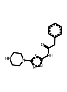 O=C(Cc1ccccc1)Nc1nnc(N2CCNCC2)s1